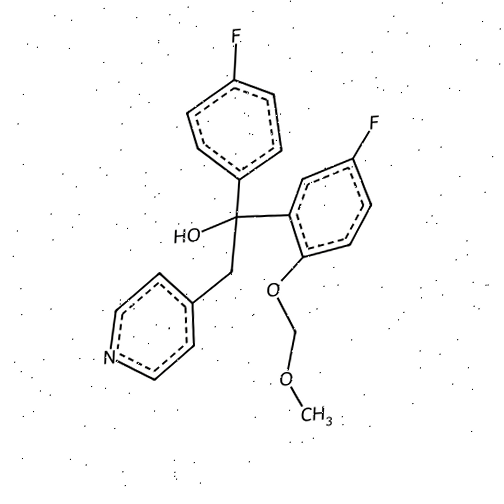 COCOc1ccc(F)cc1C(O)(Cc1ccncc1)c1ccc(F)cc1